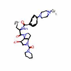 CC(C)CC(NC(=O)c1ccc(N2CCN(C)CC2)cc1)C(=O)N1CCC2C1C(=O)CN2C(=O)N1CCCCC1